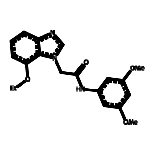 CCOc1cccc2ncn(CC(=O)Nc3cc(OC)cc(OC)c3)c12